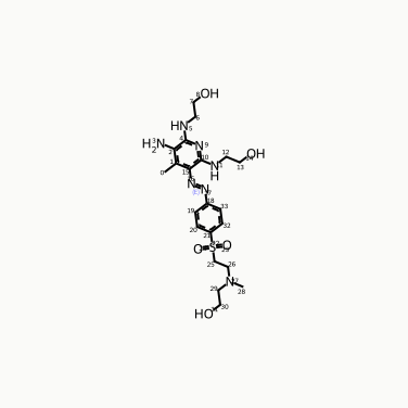 Cc1c(N)c(NCCO)nc(NCCO)c1/N=N/c1ccc(S(=O)(=O)CCN(C)CCO)cc1